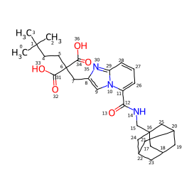 CC(C)(C)CCC(Cc1cn2c(C(=O)NCC34CC5CC(CC(C5)C3)C4)cccc2n1)(C(=O)O)C(=O)O